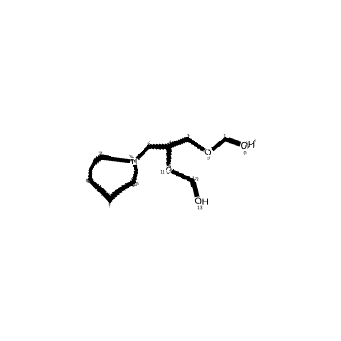 OCOCC(CN1CCCC1)OCO